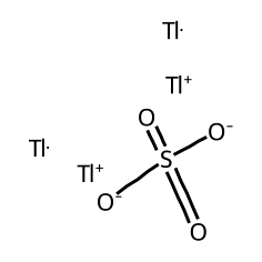 O=S(=O)([O-])[O-].[Tl+].[Tl+].[Tl].[Tl]